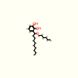 CCCCCCCCCC(OCCCCCC)c1cccc(O)c1O